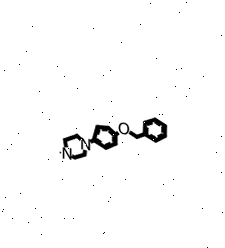 c1ccc(COc2ccc(N3CC[N]CC3)cc2)cc1